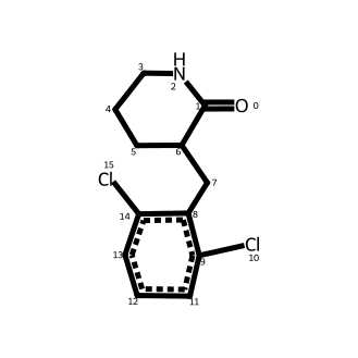 O=C1NCCCC1Cc1c(Cl)cccc1Cl